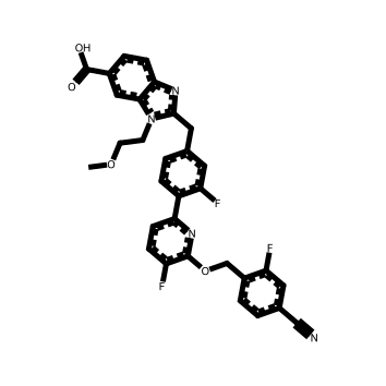 COCCn1c(Cc2ccc(-c3ccc(F)c(OCc4ccc(C#N)cc4F)n3)c(F)c2)nc2ccc(C(=O)O)cc21